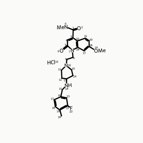 CNC(=O)c1cc(=O)n(CCN2CCC(NCc3ccc(C)c(F)c3)CC2)c2cc(OC)ccc12.Cl